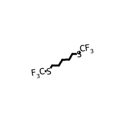 FC(F)(F)SCCCCCSC(F)(F)F